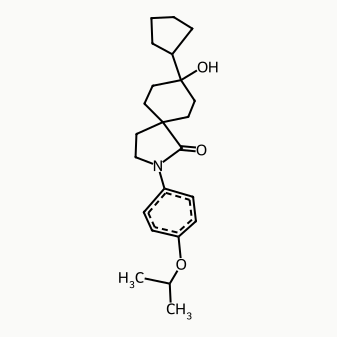 CC(C)Oc1ccc(N2CCC3(CCC(O)(C4CCCC4)CC3)C2=O)cc1